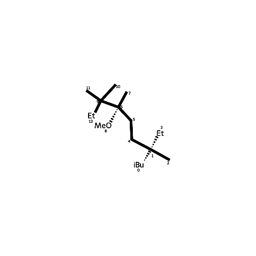 CC[C@@H](C)[C@@](C)(CC)CC[C@@](C)(OC)C(C)(C)CC